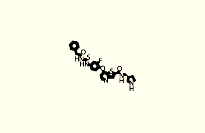 O=C(Cc1ccccc1)NC(=S)Nc1ccc(Oc2ccnc3cc(C(=O)NC[C@H]4CCNC4)sc23)c(F)c1